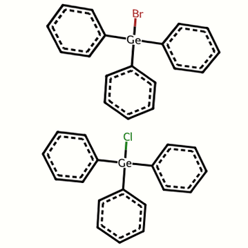 [Br][Ge]([c]1ccccc1)([c]1ccccc1)[c]1ccccc1.[Cl][Ge]([c]1ccccc1)([c]1ccccc1)[c]1ccccc1